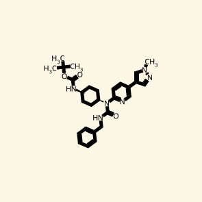 Cn1cc(-c2ccc(N(C(=O)NCc3ccccc3)[C@H]3CC[C@H](NC(=O)OC(C)(C)C)CC3)nc2)cn1